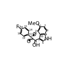 COc1ccc2[nH]cc(C(O)S(=O)(=O)c3ccc(F)cc3)c2c1